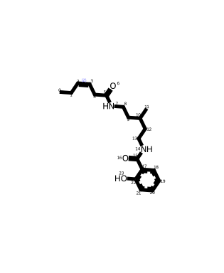 CC/C=C\CC(=O)NCCC(C)CCNC(=O)c1ccccc1O